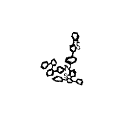 c1ccc(-c2ccccc2-c2ccccc2-c2ccc(N(c3ccc(-c4ccc5c(c4)sc4ccccc45)cc3)c3cccc4c3sc3c(-c5ccccc5)ccc(-c5ccccc5)c34)cc2)cc1